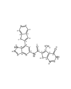 Cc1c(C(=O)Nc2cc(-c3cc4ccccc4s3)c3[nH]ncc3c2)sc2nc[nH]c(=O)c12